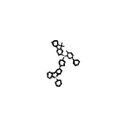 CC1C=CC(c2ccccc2)=CC1N(c1ccc(-c2ccc3c(c2)c2ccccc2n3-c2ccccc2)cc1)c1ccc2c(c1)C(C)(C)c1ccccc1-2